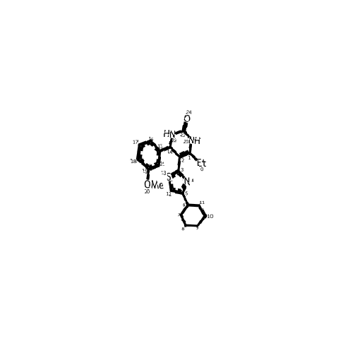 CCC1=C(c2nc(C3CCCCC3)cs2)C(c2cccc(OC)c2)NC(=O)N1